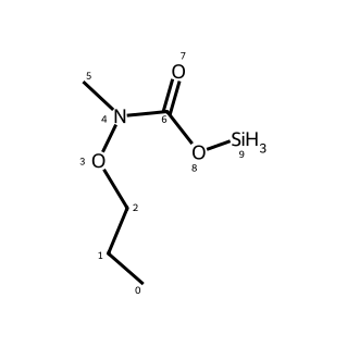 CCCON(C)C(=O)O[SiH3]